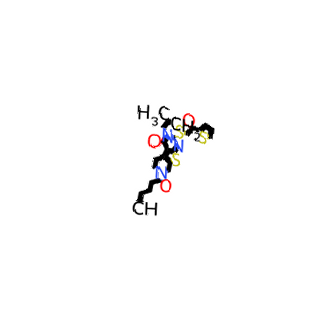 C#CCCCC(=O)N1CCc2c(sc3nc(SCC(=O)c4cccs4)n(CC(=C)C)c(=O)c23)C1